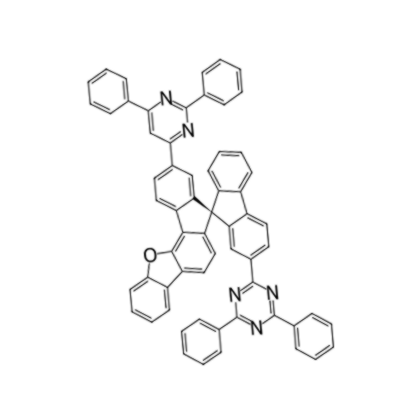 c1ccc(-c2cc(-c3ccc4c(c3)[C@]3(c5ccccc5-c5ccc(-c6nc(-c7ccccc7)nc(-c7ccccc7)n6)cc53)c3ccc5c(oc6ccccc65)c3-4)nc(-c3ccccc3)n2)cc1